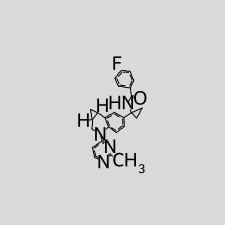 Cc1nccc(N2C[C@@H]3C[C@@H]3c3cc(C4(NC(=O)c5ccc(F)cc5)CC4)ccc32)n1